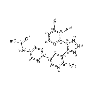 CC(C)C(=O)Nc1ccc(-c2cnc(N)c(-c3nnnn3-c3cccc(F)c3F)c2)cc1